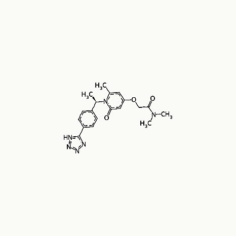 Cc1cc(OCC(=O)N(C)C)cc(=O)n1[C@H](C)c1ccc(-c2nnn[nH]2)cc1